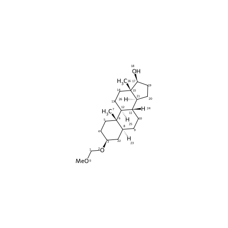 COCO[C@H]1CC[C@@]2(C)[C@@H](CC[C@@H]3[C@@H]2CC[C@]2(C)[C@@H](O)CC[C@@H]32)C1